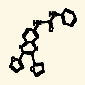 O=C(Nc1ccccc1)Nc1ccc2nc(-c3ccco3)c(-c3ccco3)nc2c1